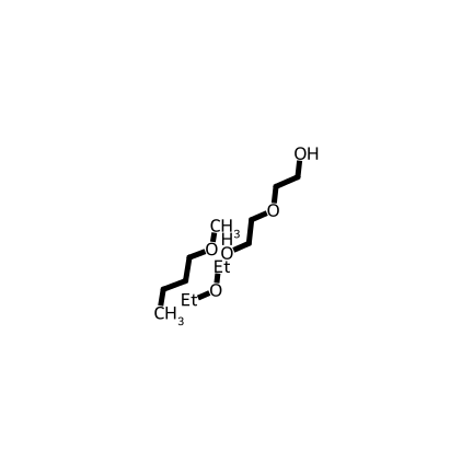 CCCCOC.CCOCC.OCCOCCO